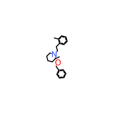 Cc1ccccc1CCN1CCCCC1(C)OCc1ccccc1